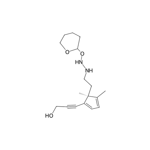 CC1=CC=C(C#CCO)[C@@]1(C)CCNNOC1CCCCO1